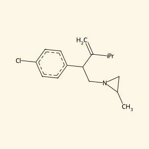 C=C(C(C)C)C(CN1CC1C)c1ccc(Cl)cc1